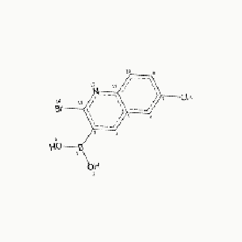 OB(O)c1cc2cc(Cl)ccc2nc1Br